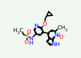 CCS(=O)(=O)Nc1cnc(OCC2CC2)c(-c2cc(C)[n+]([O-])c3[nH]ccc23)c1